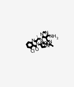 Cc1noc(-c2c(N)ncnc2N[C@@H](C)c2nc3cccc(Cl)c3c(=O)n2-c2cc[nH]n2)n1